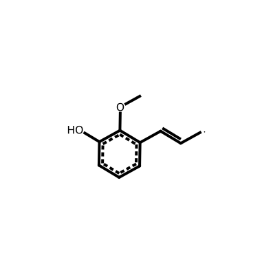 [CH2]/C=C/c1cccc(O)c1OC